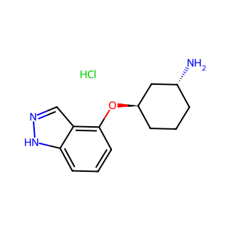 Cl.N[C@@H]1CCC[C@@H](Oc2cccc3[nH]ncc23)C1